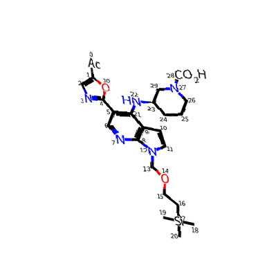 CC(=O)c1cnc(-c2cnc3c(ccn3COCC[Si](C)(C)C)c2N[C@@H]2CCCN(C(=O)O)C2)o1